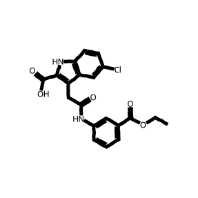 CCOC(=O)c1cccc(NC(=O)Cc2c(C(=O)O)[nH]c3ccc(Cl)cc23)c1